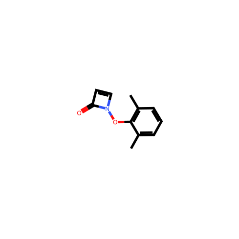 Cc1cccc(C)c1ON1C=CC1=O